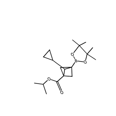 CC(C)OC(=O)C12CC(B3OC(C)(C)C(C)(C)O3)(C1)C2C1CC1